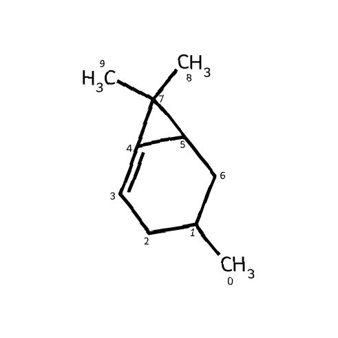 CC1CC=C2C(C1)C2(C)C